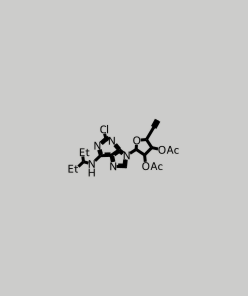 C#CC1OC(n2cnc3c(NC(CC)CC)nc(Cl)nc32)C(OC(C)=O)C1OC(C)=O